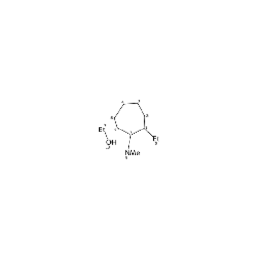 CCC1CCCCCC1NC.CCO